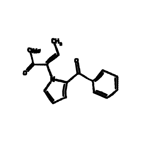 CC=C(C(=O)OC)n1cccc1C(=O)c1ccccc1